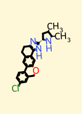 C[C@@H]1C[C@@H](c2nc3c([nH]2)-c2cc4c(cc2CC3)-c2ccc(Cl)cc2CO4)N[C@@H]1C